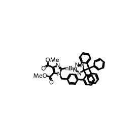 CCCCc1nc(C(=O)OC)c(C(=O)OC)n1Cc1ccc(-c2ccccc2C2(C(c3ccccc3)(c3ccccc3)c3ccccc3)N=NN=N2)cc1